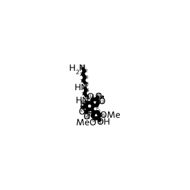 COc1cc(C2c3cc4c(cc3[C@@H](NC(=O)CCNCCCCCN)[C@H]3COC(=O)[C@H]23)OCO4)cc(OC)c1O